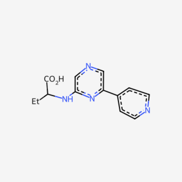 CCC(Nc1cncc(-c2ccncc2)n1)C(=O)O